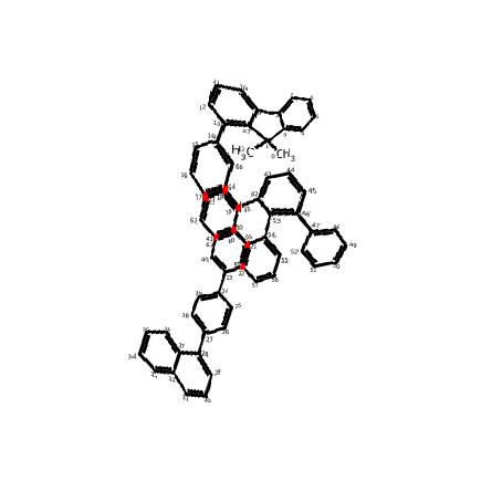 CC1(C)c2ccccc2-c2cccc(-c3cccc(N(c4ccc(-c5ccc(-c6cccc7ccccc67)cc5)cc4)c4cccc(-c5ccccc5)c4-c4ccccc4-c4ccccc4)c3)c21